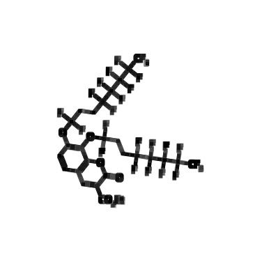 CCOC(=O)c1cc2ccc(OC(F)(F)CCC(F)(F)C(F)(F)C(F)(F)C(F)(F)C(F)(F)F)c(OC(F)(F)CCC(F)(F)C(F)(F)C(F)(F)C(F)(F)C(F)(F)F)c2oc1=O